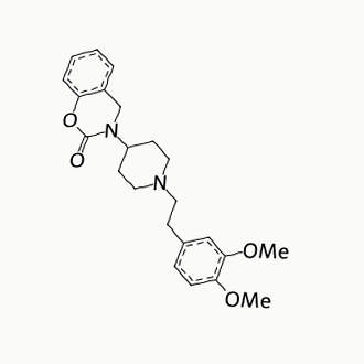 COc1ccc(CCN2CCC(N3Cc4ccccc4OC3=O)CC2)cc1OC